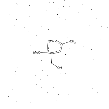 COc1ccc(C)cc1CO